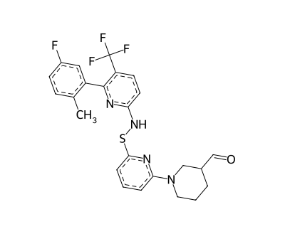 Cc1ccc(F)cc1-c1nc(NSc2cccc(N3CCCC(C=O)C3)n2)ccc1C(F)(F)F